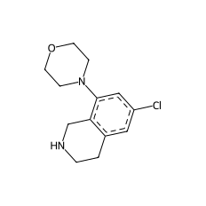 Clc1cc2c(c(N3CCOCC3)c1)CNCC2